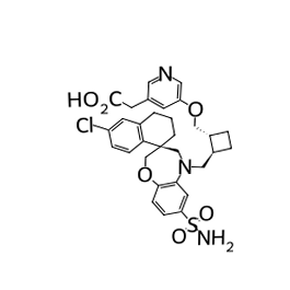 NS(=O)(=O)c1ccc2c(c1)N(C[C@@H]1CC[C@H]1COc1cncc(CC(=O)O)c1)C[C@@]1(CCCc3cc(Cl)ccc31)CO2